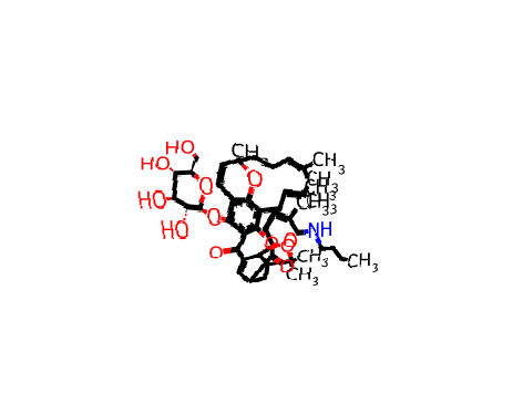 CCCCNC(=O)/C(C)=C\CC12OC(C)(C)C3CC(C=C4C(=O)c5c(O[C@@H]6O[C@H](CO)[C@@H](O)[C@H](O)[C@H]6O)c6c(c(CC=C(C)C)c5OC431)OC(C)(CCC=C(C)C)C=C6)C2=O